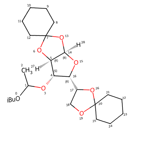 CC(C)COC(C)O[C@@H]1[C@H]2OC3(CCCCC3)O[C@H]2O[C@@H]1C1COC2(CCCCC2)O1